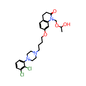 CC(O)OCN1C(=O)CCc2ccc(OCCCCN3CCN(c4cccc(Cl)c4Cl)CC3)cc21